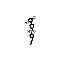 CCCCc1ccc(NC(=O)c2ccc(-c3cc(Cl)ccc3OC)nc2)cc1